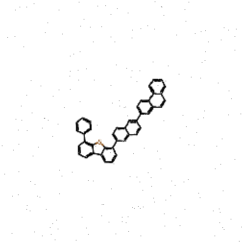 c1ccc(-c2cccc3c2sc2c(-c4ccc5cc(-c6ccc7c(ccc8ccccc87)c6)ccc5c4)cccc23)cc1